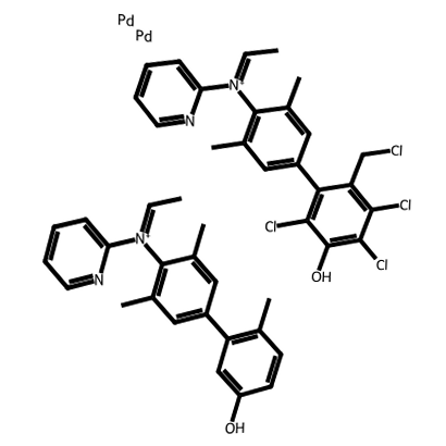 CC=[N+](c1ccccn1)c1c(C)cc(-c2c(Cl)c(O)c(Cl)c(Cl)c2CCl)cc1C.CC=[N+](c1ccccn1)c1c(C)cc(-c2cc(O)ccc2C)cc1C.[Pd].[Pd]